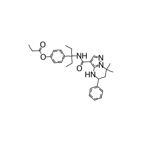 CCC(=O)Oc1ccc(C(CC)(CC)NC(=O)c2cnn3c2NC(c2ccccc2)CC3(C)C)cc1